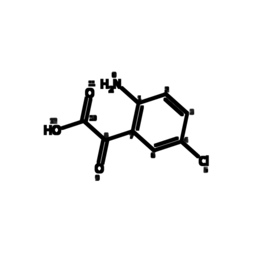 Nc1ccc(Cl)cc1C(=O)C(=O)O